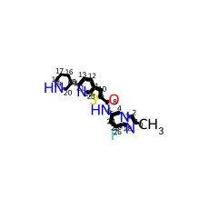 Cc1cn2cc(NC(=O)c3cc4ccc([C@H]5CCCNC5)nc4s3)cc(F)c2n1